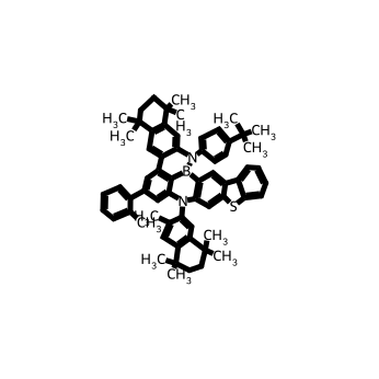 Cc1ccccc1-c1cc2c3c(c1)N(c1cc4c(cc1C)C(C)(C)CCC4(C)C)c1cc4sc5ccccc5c4cc1B3N(c1ccc(C(C)(C)C)cc1)c1cc3c(cc1-2)C(C)(C)CCC3(C)C